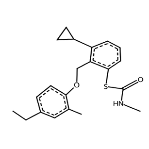 CCc1ccc(OCc2c(SC(=O)NC)cccc2C2CC2)c(C)c1